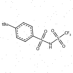 CC(C)(C)c1ccc(S(=O)(=O)NS(=O)(=O)C(F)(F)F)cc1